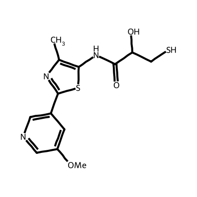 COc1cncc(-c2nc(C)c(NC(=O)C(O)CS)s2)c1